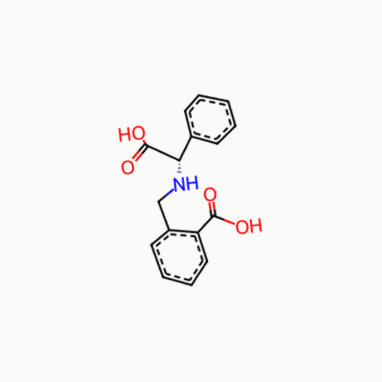 O=C(O)c1ccccc1CN[C@H](C(=O)O)c1ccccc1